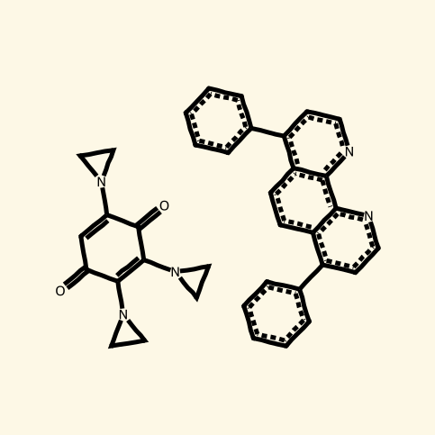 O=C1C=C(N2CC2)C(=O)C(N2CC2)=C1N1CC1.c1ccc(-c2ccnc3c2ccc2c(-c4ccccc4)ccnc23)cc1